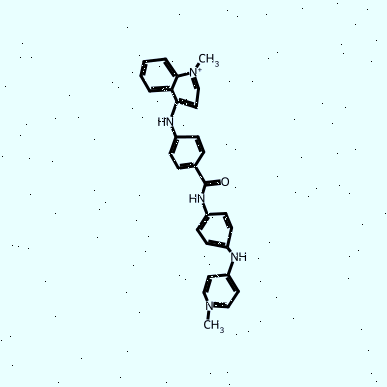 C[n+]1ccc(Nc2ccc(NC(=O)c3ccc(Nc4cc[n+](C)c5ccccc45)cc3)cc2)cc1